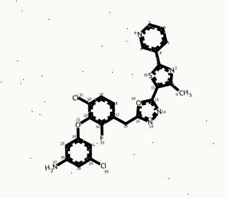 Cc1nc(-c2cccnc2)sc1-c1nnc(Cc2ccc(Cl)c(Oc3cc(N)cc(Cl)c3)c2F)o1